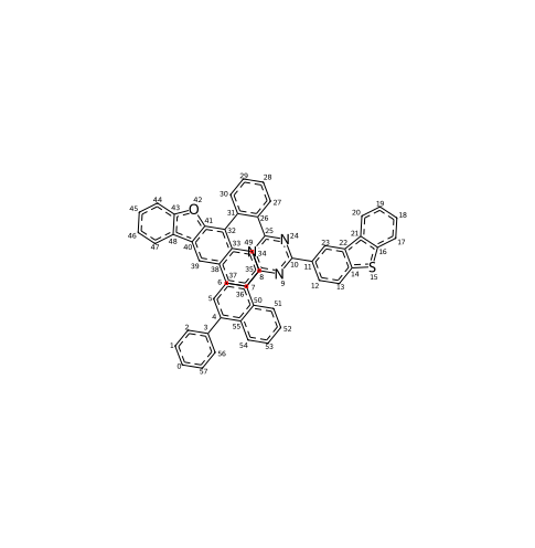 c1ccc(-c2ccc(-c3nc(-c4ccc5sc6ccccc6c5c4)nc(-c4ccccc4-c4c5ccccc5cc5c4oc4ccccc45)n3)c3ccccc23)cc1